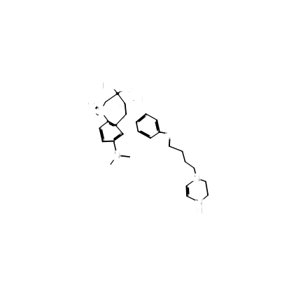 CCCCC1(CCCC)CS(=O)(=O)c2ccc(N(C)C)cc2[C@@H](c2ccc(OCCCCN3C=CNCC3)cc2)[C@H]1O